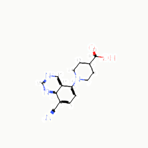 N#Cc1ccc(N2CCC(C(=O)O)CC2)c2cncnc12